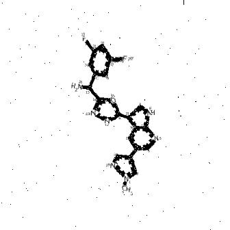 Cn1cc(-c2cnc3[nH]cc(-c4nnc(C(N)c5cc(F)cc(F)c5)o4)c3c2)cn1